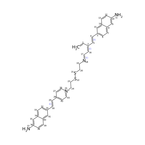 C=CC(/C=C/c1ccc2cc(N)ccc2c1)=C\C=N\CCSSCC[n+]1ccc(/C=C/c2ccc3cc(N)ccc3c2)cc1